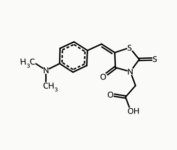 CN(C)c1ccc(C=C2SC(=S)N(CC(=O)O)C2=O)cc1